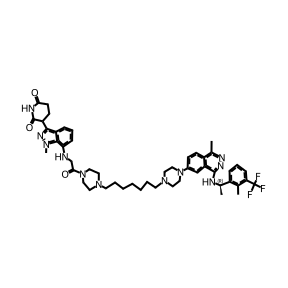 Cc1c([C@@H](C)Nc2nnc(C)c3ccc(N4CCN(CCCCCCCN5CCN(C(=O)CNc6cccc7c(C8CCC(=O)NC8=O)nn(C)c67)CC5)CC4)cc23)cccc1C(F)(F)F